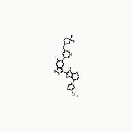 Cc1cn(-c2ccnc3[nH]c(-c4n[nH]c5cc(F)c(-c6cncc(CN7CCC(F)(F)C7)c6)cc45)nc23)cn1